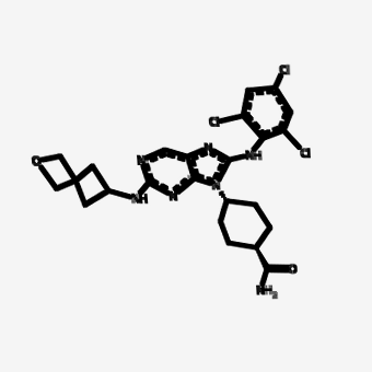 NC(=O)[C@H]1CC[C@H](n2c(Nc3c(Cl)cc(Cl)cc3Cl)nc3cnc(NC4CC5(COC5)C4)nc32)CC1